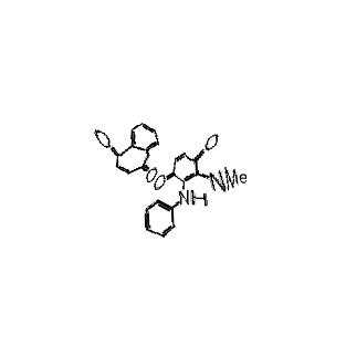 CNC1=C(Nc2ccccc2)C(=O)C=CC1=O.O=C1C=CC(=O)c2ccccc21